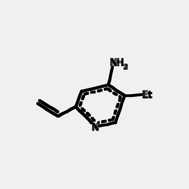 C=Cc1cc(N)c(CC)cn1